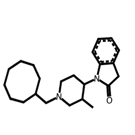 CC1CN(CC2CCCCCCC2)CCC1N1C(=O)Cc2ccccc21